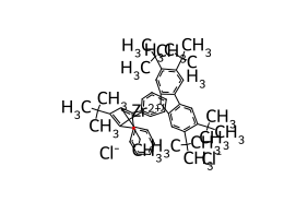 CCC1[C]([Zr+2][CH]2c3cc(C(C)(C)C)c(C(C)(C)C)cc3-c3cc(C(C)(C)C)c(C(C)(C)C)cc32)=C2C(C(C)(C)C)=C1C2(c1ccccc1)c1ccccc1.[Cl-].[Cl-]